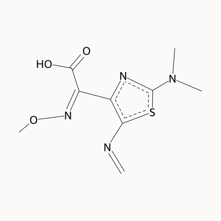 C=Nc1sc(N(C)C)nc1/C(=N/OC)C(=O)O